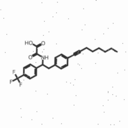 CCCCCCC#Cc1ccc(CC(NC(=O)C(=O)O)c2ccc(C(F)(F)F)cc2)cc1